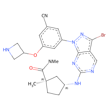 CNC(=O)[C@]1(C)CC[C@@H](Nc2ncc3c(Br)nn(-c4cc(C#N)cc(OC5CNC5)c4)c3n2)C1